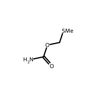 CSCOC(N)=O